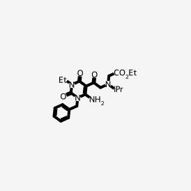 CCOC(=O)CN(CC(=O)c1c(N)n(Cc2ccccc2)c(=O)n(CC)c1=O)C(C)C